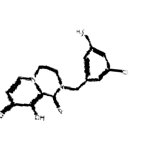 Cc1cc(Cl)cc(CN2CCn3ccc(=O)c(O)c3C2=O)c1